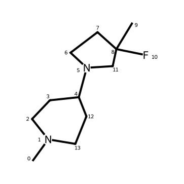 CN1CCC(N2CCC(C)(F)C2)CC1